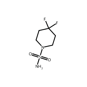 NS(=O)(=O)N1CCC(F)(F)CC1